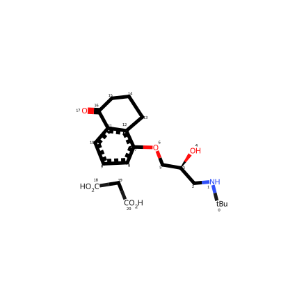 CC(C)(C)NC[C@H](O)COc1cccc2c1CCCC2=O.O=C(O)CC(=O)O